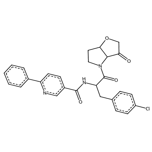 O=C(NC(Cc1ccc(Cl)cc1)C(=O)N1CCC2OCC(=O)C21)c1ccc(-c2ccccc2)nc1